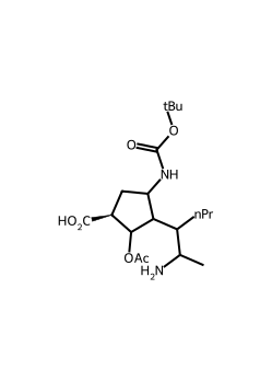 CCCC(C(C)N)C1C(NC(=O)OC(C)(C)C)C[C@H](C(=O)O)C1OC(C)=O